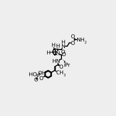 C/C(=C\C(=O)N[C@@H](CC(C)C)C(=O)N1C2C3[C@H]2[C@@H]3[C@H]1C(=O)NCCOC(N)=O)c1ccc(OP(=O)(O)O)cc1